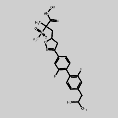 CC(O)Cc1ccc(-c2ccc(C3=NOC(CC(C)(C(=O)NO)S(C)(=O)=O)C3)cc2F)c(F)c1